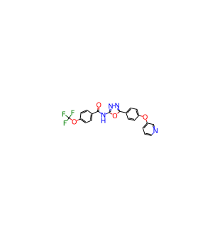 O=C(Nc1nnc(-c2ccc(Oc3cccnc3)cc2)o1)c1ccc(OC(F)(F)F)cc1